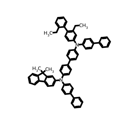 CCc1ccccc1-c1ccc(N(c2ccc(-c3ccccc3)cc2)c2ccc(-c3ccc(N(c4ccc(-c5ccccc5)cc4)c4ccc5c(c4)C(C)(C)c4ccccc4-5)cc3)cc2)cc1CC